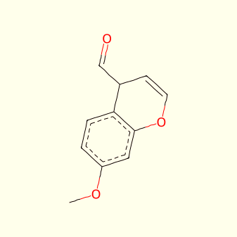 COc1ccc2c(c1)OC=CC2C=O